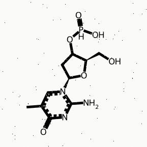 Cc1cn([C@H]2CC(O[PH](=O)O)[C@@H](CO)O2)c(N)nc1=O